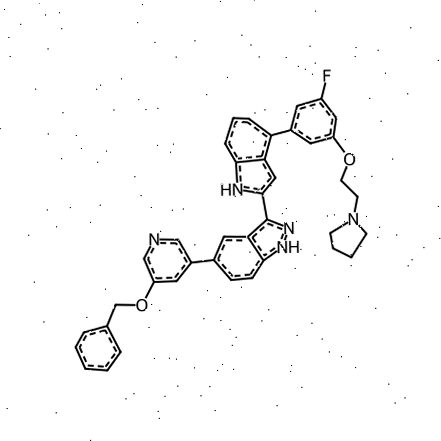 Fc1cc(OCCN2CCCC2)cc(-c2cccc3[nH]c(-c4n[nH]c5ccc(-c6cncc(OCc7ccccc7)c6)cc45)cc23)c1